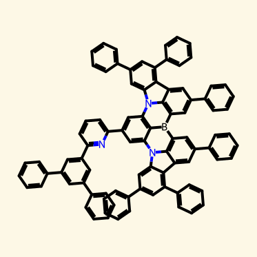 c1ccc(-c2cc(-c3ccccc3)cc(-c3cccc(-c4cc5c6c(c4)-n4c7cc(-c8ccccc8)cc(-c8ccccc8)c7c7cc(-c8ccccc8)cc(c74)B6c4cc(-c6ccccc6)cc6c7c(-c8ccccc8)cc(-c8ccccc8)cc7n-5c46)n3)c2)cc1